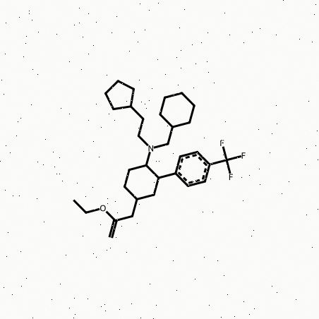 C=C(CC1CCC(N(CCC2CCCC2)CC2CCCCC2)C(c2ccc(C(F)(F)F)cc2)C1)OCC